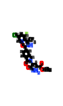 CC(C)(C)OC(=O)CC[C@@H](C(N)=O)N1Cc2cc(C(=O)N[C@H](c3ncc(Cl)cc3F)C(F)(F)F)ccc2C1=O